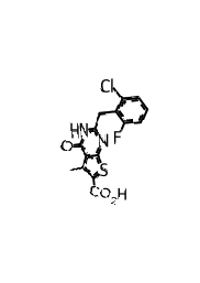 Cc1c(C(=O)O)sc2nc(Cc3c(F)cccc3Cl)[nH]c(=O)c12